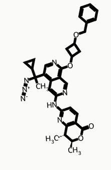 C[C@@H]1OC(=O)c2ccc(Nc3cc4c(C(C)(N=[N+]=[N-])C5CC5)cnc(OC5CC(OCc6ccccc6)C5)c4cn3)nc2[C@H]1C